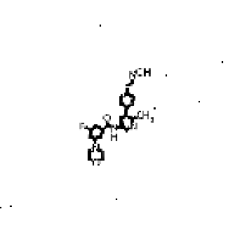 Cc1ncc(NC(=O)c2cc(F)cc(N3CCOCC3)c2)cc1-c1ccc(CC=NO)cc1